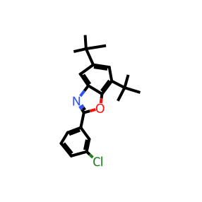 CC(C)(C)c1cc(C(C)(C)C)c2oc(-c3cccc(Cl)c3)nc2c1